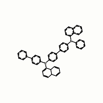 C1=CC2C=CC=C(N(c3ccc(-c4ccccc4)cc3)c3ccc(-c4ccc(N(c5ccccc5)c5cccc6ccccc56)cc4)cc3)C2C=C1